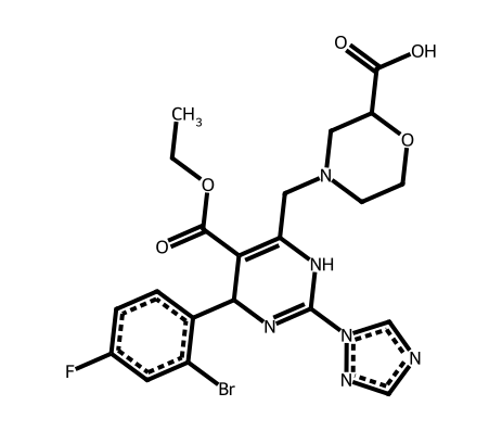 CCOC(=O)C1=C(CN2CCOC(C(=O)O)C2)NC(n2cncn2)=NC1c1ccc(F)cc1Br